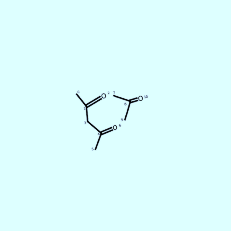 CC(=O)CC(C)=O.CC(C)=O